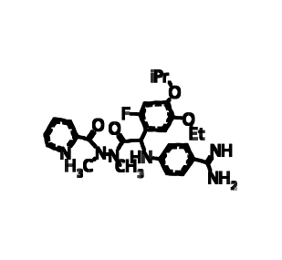 CCOc1cc(C(Nc2ccc(C(=N)N)cc2)C(=O)N(C)N(C)C(=O)c2ccccn2)c(F)cc1OC(C)C